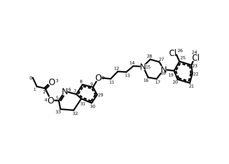 CCC(=O)OC1=Nc2cc(OCCCCN3CCN(c4cccc(Cl)c4Cl)CC3)ccc2CC1